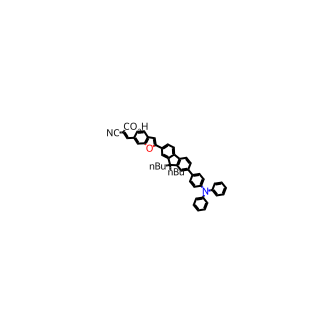 CCCCC1(CCCC)c2cc(-c3ccc(N(c4ccccc4)c4ccccc4)cc3)ccc2-c2ccc(-c3cc4ccc(/C=C(/C#N)C(=O)O)cc4o3)cc21